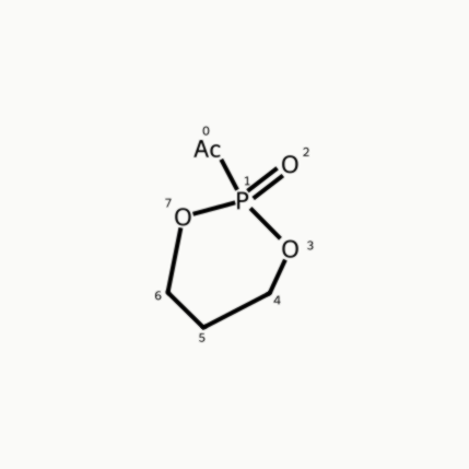 CC(=O)P1(=O)OCCCO1